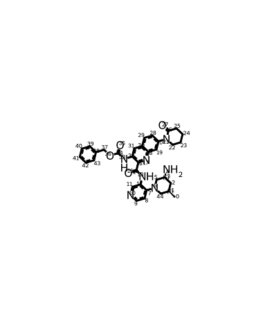 C[C@@H]1C[C@H](N)CN(c2ccncc2NC(=O)c2nc3cc(N4CCCCC4=O)ccc3cc2NC(=O)OCc2ccccc2)C1